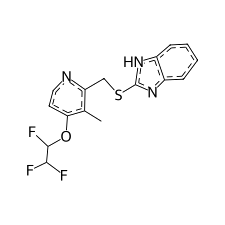 Cc1c(OC(F)C(F)F)ccnc1CSc1nc2ccccc2[nH]1